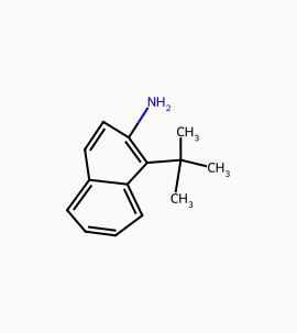 CC(C)(C)c1c(N)ccc2ccccc12